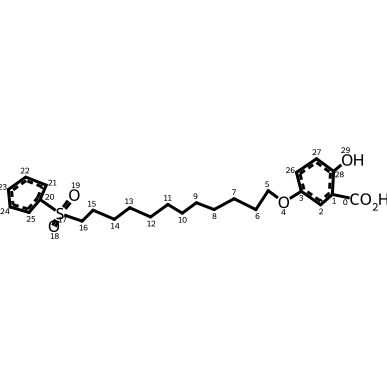 O=C(O)c1cc(OCCCCCCCCCCCCS(=O)(=O)c2ccccc2)ccc1O